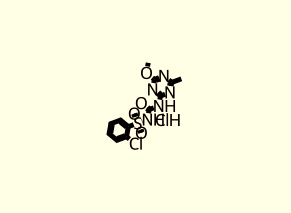 COc1nc(C)nc(NC(=O)NS(=O)(=O)c2ccccc2Cl)n1.Cl